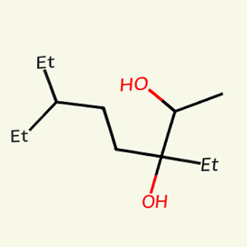 CCC(CC)CCC(O)(CC)C(C)O